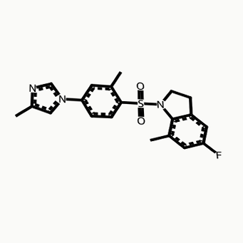 Cc1cn(-c2ccc(S(=O)(=O)N3CCc4cc(F)cc(C)c43)c(C)c2)cn1